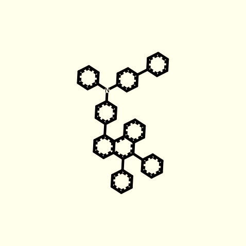 c1ccc(-c2ccc(N(c3ccccc3)c3ccc(-c4cccc5c(-c6ccccc6)c(-c6ccccc6)c6ccccc6c45)cc3)cc2)cc1